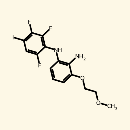 COCCOc1cccc(Nc2c(F)cc(I)c(F)c2F)c1N